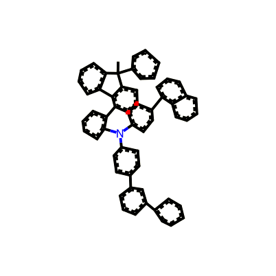 CC1(c2ccccc2)c2ccccc2-c2c(-c3ccccc3N(c3ccc(-c4cccc(-c5ccccc5)c4)cc3)c3ccc(-c4cccc5ccccc45)cc3)cccc21